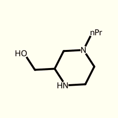 CCCN1CCNC(CO)C1